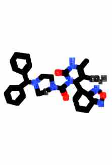 CC1=C(C(=O)O)C(c2cccc3nonc23)N(C(=O)N2CCN(C(c3ccccc3)c3ccccc3)CC2)C(=O)N1